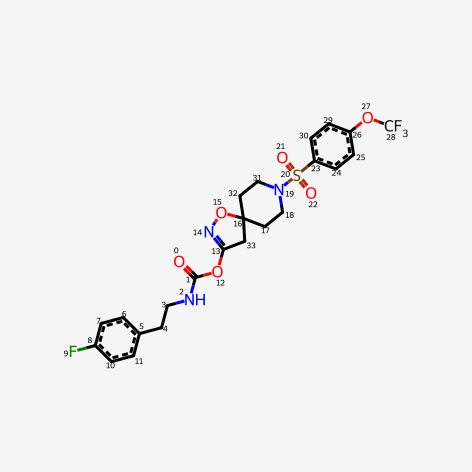 O=C(NCCc1ccc(F)cc1)OC1=NOC2(CCN(S(=O)(=O)c3ccc(OC(F)(F)F)cc3)CC2)C1